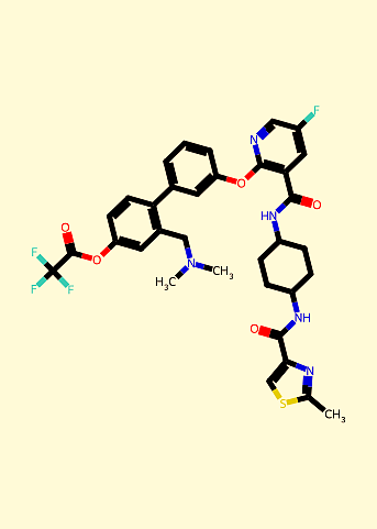 Cc1nc(C(=O)NC2CCC(NC(=O)c3cc(F)cnc3Oc3cccc(-c4ccc(OC(=O)C(F)(F)F)cc4CN(C)C)c3)CC2)cs1